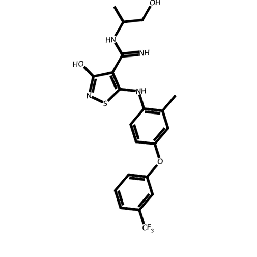 Cc1cc(Oc2cccc(C(F)(F)F)c2)ccc1Nc1snc(O)c1C(=N)NC(C)CO